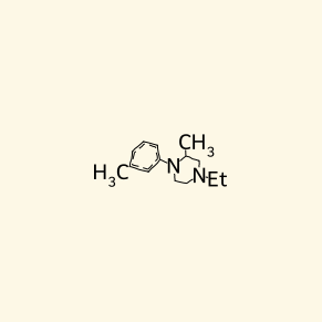 CCN1CCN(c2cccc(C)c2)C(C)C1